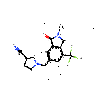 CN1Cc2c(cc(CN3CCC(C#N)C3)cc2C(F)(F)F)C1=O